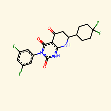 O=C1CC(C2CCC(F)(F)CC2)Nc2[nH]c(=O)n(-c3cc(F)cc(F)c3)c(=O)c21